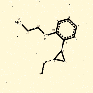 CC[C@H]1C[C@@H]1c1ccccc1OCCO